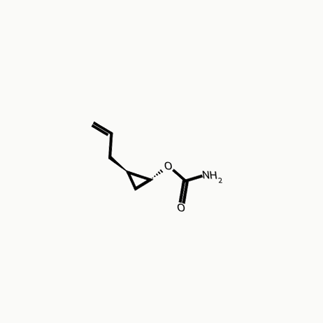 C=CC[C@@H]1C[C@H]1OC(N)=O